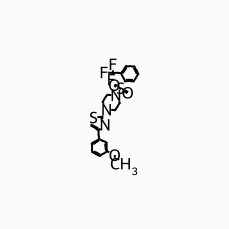 COc1cccc(-c2csc(N3CCN(S(=O)(=O)c4ccccc4C(F)(F)F)CC3)n2)c1